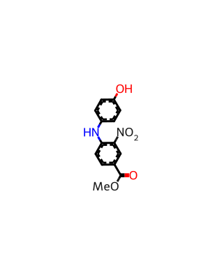 COC(=O)c1ccc(Nc2ccc(O)cc2)c([N+](=O)[O-])c1